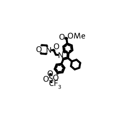 COC(=O)c1ccc2c(C3CCCCC3)c(-c3ccc(OS(=O)(=O)C(F)(F)F)cc3)n(CC(=O)N3CCOCC3)c2c1